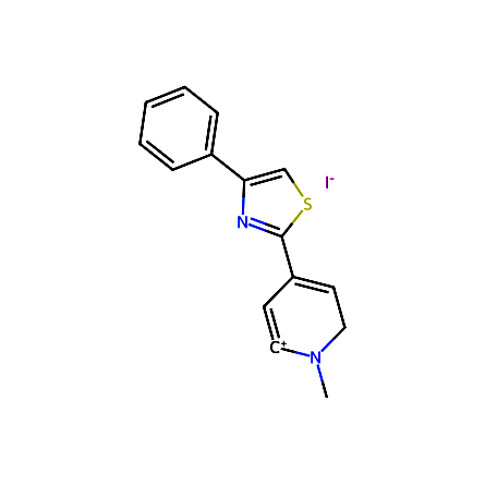 CN1[C+]=CC(c2nc(-c3ccccc3)cs2)=CC1.[I-]